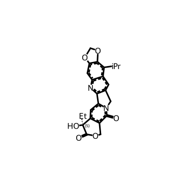 CC[C@@]1(O)C(=O)OCc2c1cc1n(c2=O)Cc2cc3c(C(C)C)c4c(cc3nc2-1)OCO4